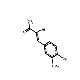 COc1cc(/C=C(\O)C(N)=O)ccc1O